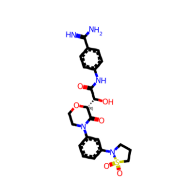 N=C(N)c1ccc(NC(=O)C(O)[C@H]2OCCN(c3cccc(N4CCCS4(=O)=O)c3)C2=O)cc1